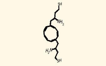 NC(CCS)Cc1cccccc(CC(N)CCS)ccc1